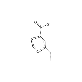 [CH2]Cc1cc[c]c([N+](=O)[O-])c1